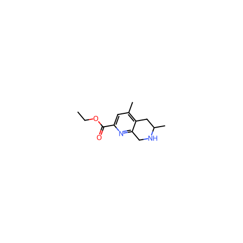 CCOC(=O)c1cc(C)c2c(n1)CNC(C)C2